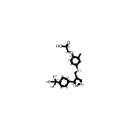 Cc1cc(SCc2csnc2-c2ccc(C(F)(F)F)cc2)ccc1OCC(=O)O